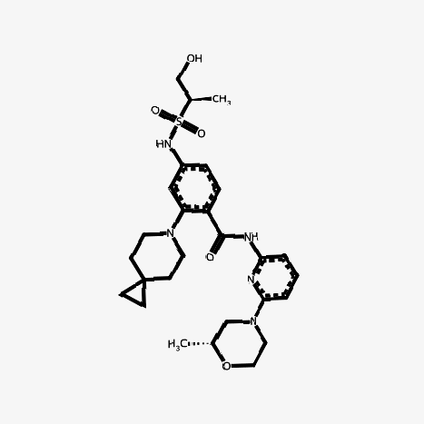 C[C@@H]1CN(c2cccc(NC(=O)c3ccc(NS(=O)(=O)[C@H](C)CO)cc3N3CCC4(CC3)CC4)n2)CCO1